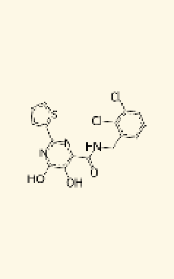 O=C(NCc1cccc(Cl)c1Cl)c1nc(-c2cccs2)nc(O)c1O